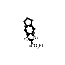 CCOC(=O)c1nc2cc3c(cc2o1)CCC3